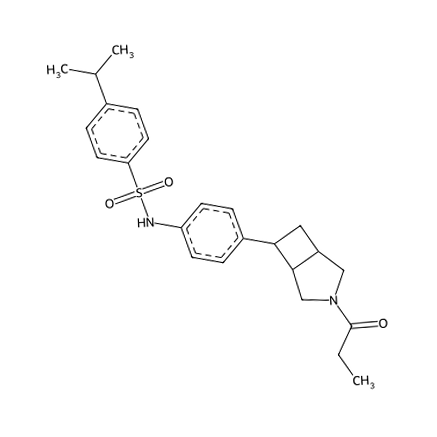 CCC(=O)N1CC2CC(c3ccc(NS(=O)(=O)c4ccc(C(C)C)cc4)cc3)C2C1